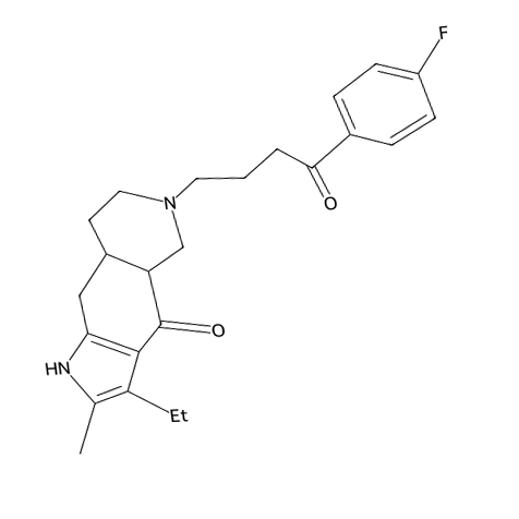 CCc1c(C)[nH]c2c1C(=O)C1CN(CCCC(=O)c3ccc(F)cc3)CCC1C2